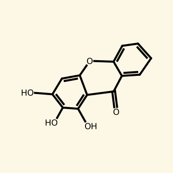 O=c1c2ccccc2oc2cc(O)c(O)c(O)c12